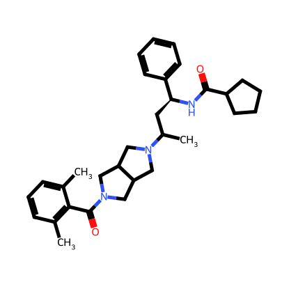 Cc1cccc(C)c1C(=O)N1CC2CN(C(C)C[C@H](NC(=O)C3CCCC3)c3ccccc3)CC2C1